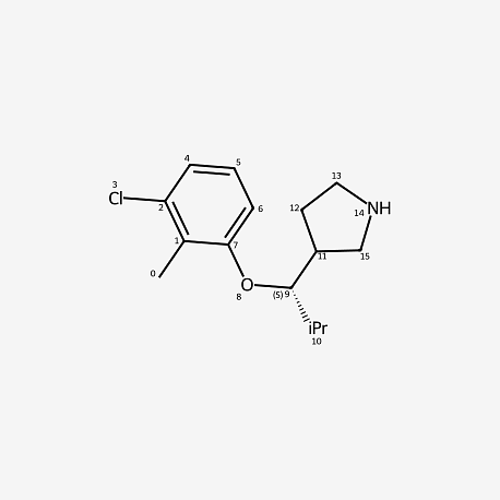 Cc1c(Cl)cccc1O[C@@H](C(C)C)C1CCNC1